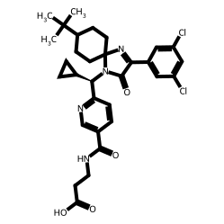 CC(C)(C)C1CCC2(CC1)N=C(c1cc(Cl)cc(Cl)c1)C(=O)N2[C@@H](c1ccc(C(=O)NCCC(=O)O)cn1)C1CC1